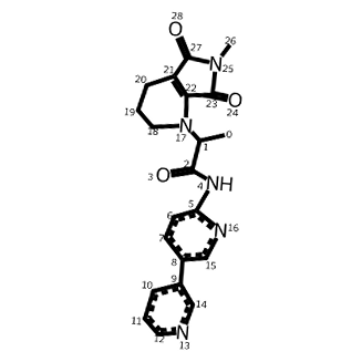 CC(C(=O)Nc1ccc(-c2cccnc2)cn1)N1CCCC2=C1C(=O)N(C)C2=O